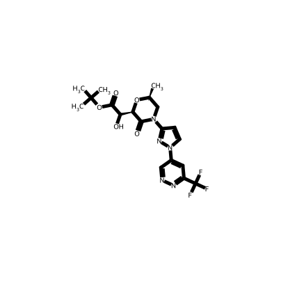 C[C@H]1CN(c2ccn(-c3cnnc(C(F)(F)F)c3)n2)C(=O)[C@@H](C(O)C(=O)OC(C)(C)C)O1